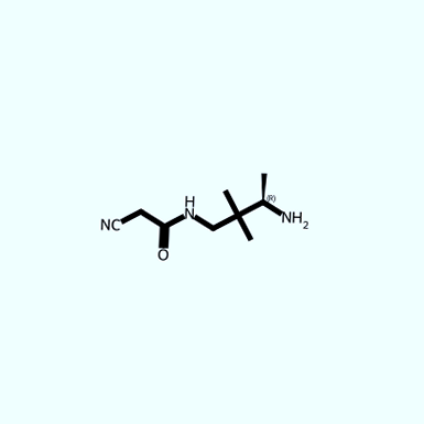 C[C@@H](N)C(C)(C)CNC(=O)CC#N